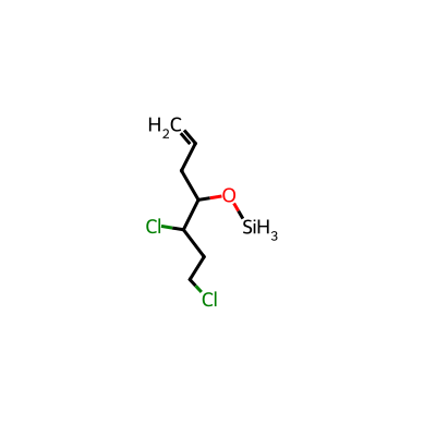 C=CCC(O[SiH3])C(Cl)CCCl